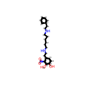 O=[N+]([O-])c1c(CCNCCCCCCNCCc2ccccc2)ccc(O)c1O